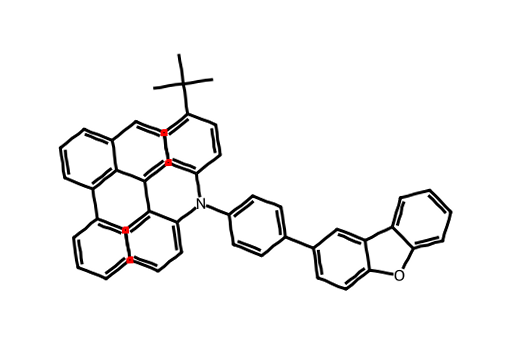 CC(C)(C)c1ccc(N(c2ccc(-c3ccc4oc5ccccc5c4c3)cc2)c2ccccc2-c2cccc3cccc(-c4ccccc4)c23)cc1